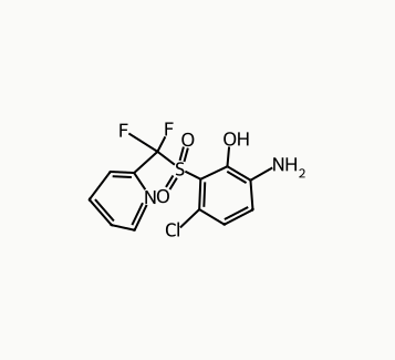 Nc1ccc(Cl)c(S(=O)(=O)C(F)(F)c2ccccn2)c1O